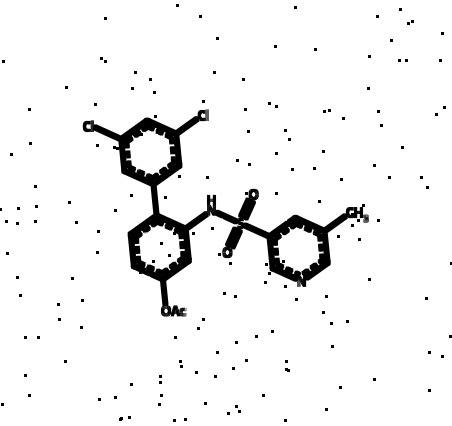 CC(=O)Oc1ccc(-c2cc(Cl)cc(Cl)c2)c(NS(=O)(=O)c2cncc(C)c2)c1